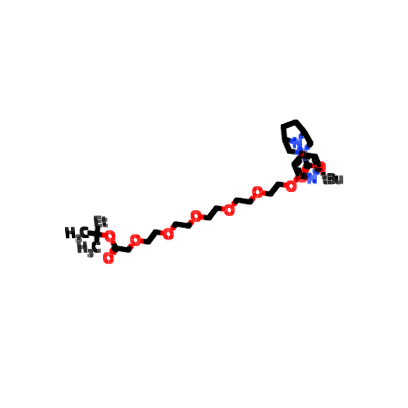 CCC(C)(C)OC(=O)COCCOCCOCCOCCOCCOc1cc(N2C3CCC2CN(C(=O)OC(C)(C)C)C3)ccn1